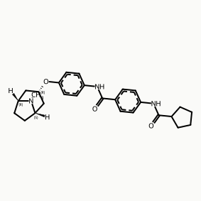 CN1[C@@H]2CC[C@H]1C[C@@H](Oc1ccc(NC(=O)c3ccc(NC(=O)C4CCCC4)cc3)cc1)C2